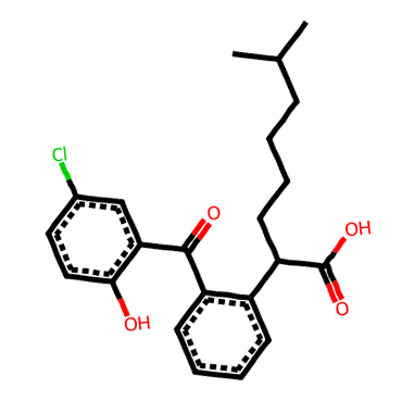 CC(C)CCCCC(C(=O)O)c1ccccc1C(=O)c1cc(Cl)ccc1O